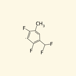 Cc1cc(C(F)F)c(F)[c]c1F